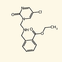 CCOC(=O)c1ccccc1CNCn1cc(Cl)cnc1=O